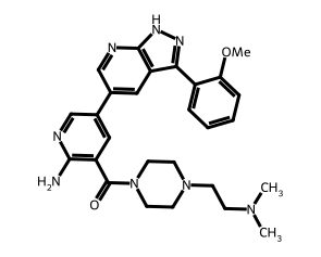 COc1ccccc1-c1n[nH]c2ncc(-c3cnc(N)c(C(=O)N4CCN(CCN(C)C)CC4)c3)cc12